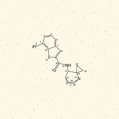 CC(C)c1cccc2cc(C(=O)NC3C4CCN(CC4)C34CC4)sc12